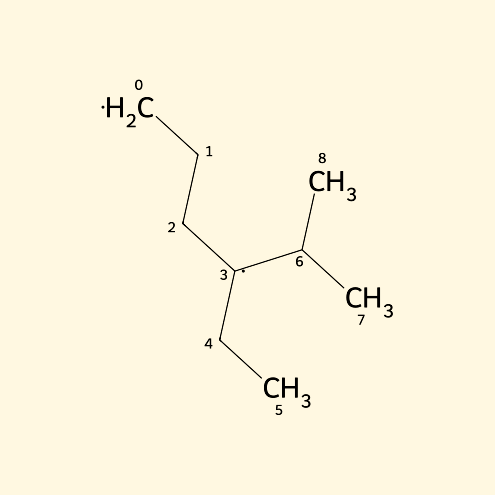 [CH2]CC[C](CC)C(C)C